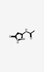 CC(=O)Nc1cc(=O)[nH][nH]1